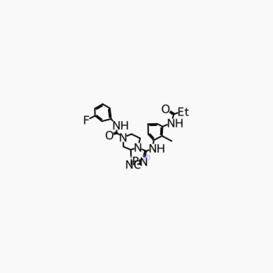 CCC(=O)Nc1cccc(N/C(=N/C#N)N2CCN(C(=O)Nc3cccc(F)c3)CC2C(C)C)c1C